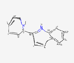 [c]1cccnc1-c1ccc2ccccc2n1